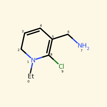 CCN1CC=CC(CN)=C1Cl